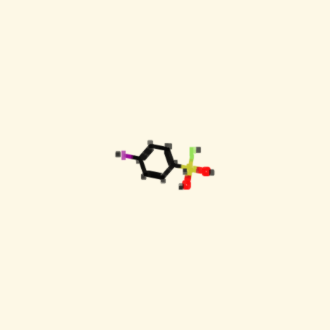 O=S(=O)(F)c1ccc(I)cc1